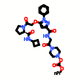 CCCOC(=O)ON1CCN(C(=O)CNC(=O)c2cc(OCC(=O)N3CCC[C@H]3C(=O)NC3CCC3)n(-c3ccccc3)n2)CC1